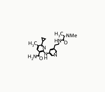 CN[C@@H](C)C(=O)NCCc1cncc(Nc2nc(C3CC3)c(C)cc2C(N)=O)c1